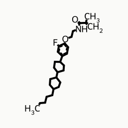 C=C(C)C(=O)NCCOc1ccc(C2CCC(C3CCC(CCCCC)CC3)CC2)cc1F